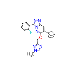 Cn1cnc(COc2nn3c(-c4ccccc4F)nnc3cc2C23CCC(C2)C3)n1